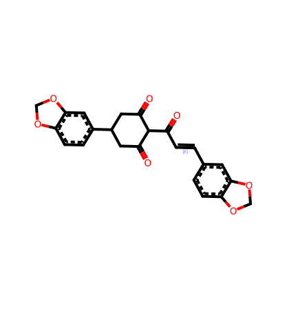 O=C(/C=C/c1ccc2c(c1)OCO2)C1C(=O)CC(c2ccc3c(c2)OCO3)CC1=O